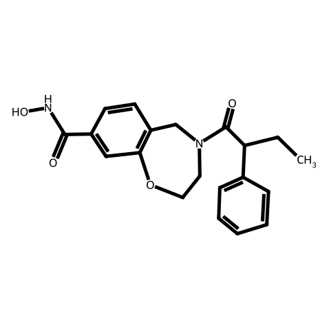 CCC(C(=O)N1CCOc2cc(C(=O)NO)ccc2C1)c1ccccc1